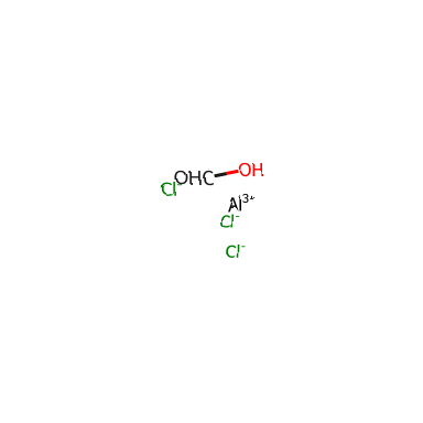 O=CO.[Al+3].[Cl-].[Cl-].[Cl-]